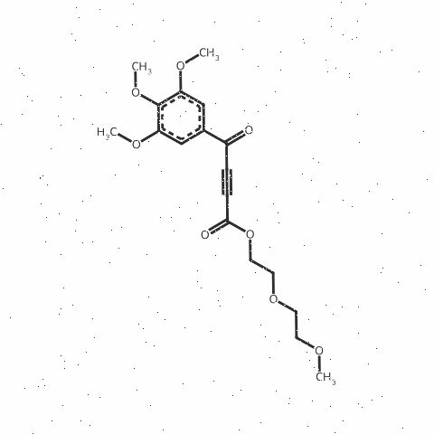 COCCOCCOC(=O)C#CC(=O)c1cc(OC)c(OC)c(OC)c1